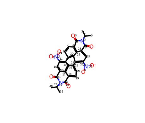 CC(C)N1C(=O)c2ccc3c4c([N+](=O)[O-])cc5c6c(ccc(c7c([N+](=O)[O-])cc(c2c37)C1=O)c64)C(=O)N(C(C)C)C5=O